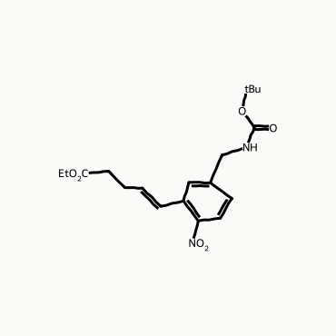 CCOC(=O)CCC=Cc1cc(CNC(=O)OC(C)(C)C)ccc1[N+](=O)[O-]